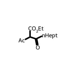 CCCCCCCC(=O)C(C(C)=O)C(=O)OCC